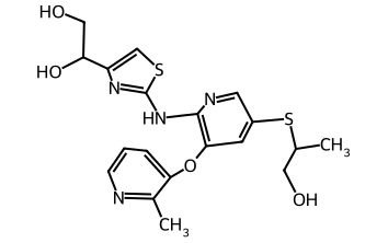 Cc1ncccc1Oc1cc(SC(C)CO)cnc1Nc1nc(C(O)CO)cs1